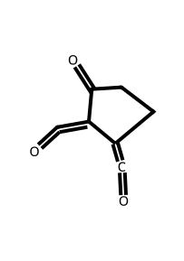 O=C=C1CCC(=O)C1=C=O